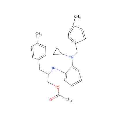 CC(=O)OCC(Cc1ccc(C)cc1)Nc1ccccc1N(Cc1ccc(C)cc1)C1CC1